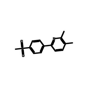 Cc1ccc(-c2ccc(S(C)(=O)=O)cc2)nc1C